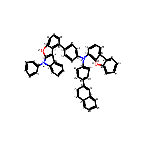 c1ccc(-n2c3ccccc3c3c4c(-c5ccc(N(c6ccc(-c7ccc8ccccc8c7)cc6)c6cccc7c6oc6ccccc67)cc5)cccc4oc32)cc1